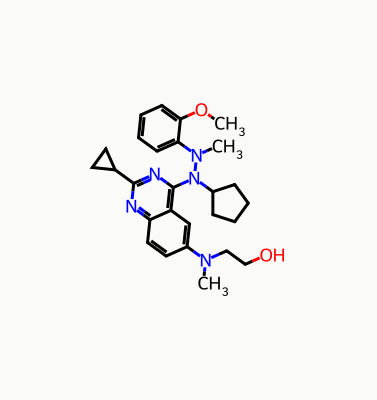 COc1ccccc1N(C)N(c1nc(C2CC2)nc2ccc(N(C)CCO)cc12)C1CCCC1